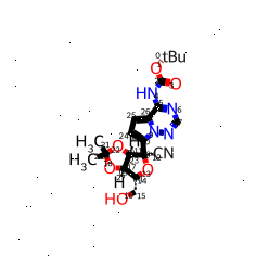 CC(C)(C)OC(=O)Nc1ncnn2c([C@]3(C#N)O[C@H](CO)[C@H]4OC(C)(C)O[C@H]43)ccc12